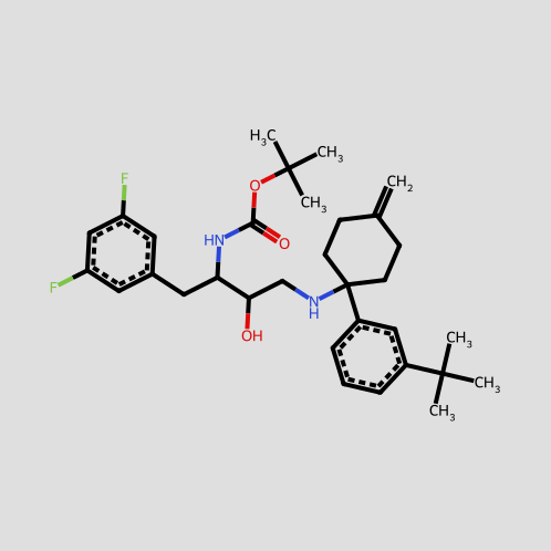 C=C1CCC(NCC(O)C(Cc2cc(F)cc(F)c2)NC(=O)OC(C)(C)C)(c2cccc(C(C)(C)C)c2)CC1